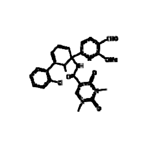 COc1nc(C2(NC(=O)c3cn(C)c(=O)n(C)c3=O)C=CC=C(c3ccccc3Cl)C2C)ccc1C=O